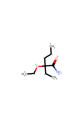 CCCC(CC)(OCC)C(N)=O